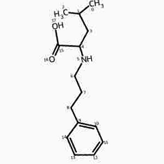 CC(C)CC(NCCCc1ccccc1)C(=O)O